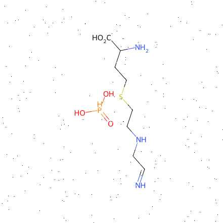 N=CCNCCSCCC(N)C(=O)O.O=[PH](O)O